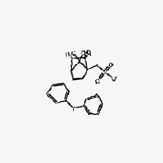 CC1(C)C2CCC1(CS(=O)(=O)[O-])C(=O)C2.c1ccc([I+]c2ccccc2)cc1